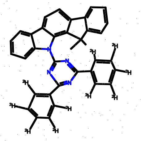 [2H]c1c([2H])c([2H])c(-c2nc(-c3c([2H])c([2H])c([2H])c([2H])c3[2H])nc(-n3c4ccccc4c4ccc5c(c43)C(C)(C)c3ccccc3-5)n2)c([2H])c1[2H]